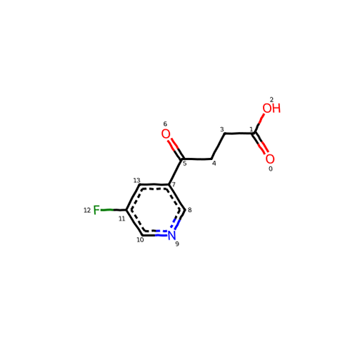 O=C(O)CCC(=O)c1cncc(F)c1